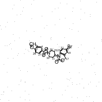 COc1ccc(S(=O)(=O)N2CCC(N3C(=O)OCc4cc(Br)ccc43)CC2)cc1